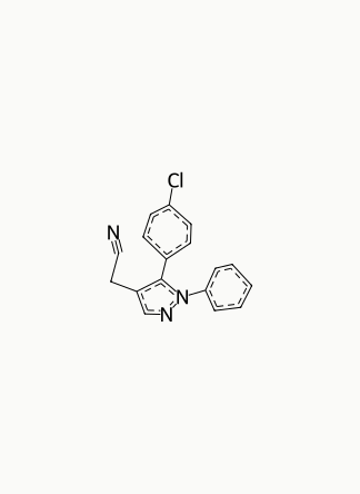 N#CCc1cnn(-c2ccccc2)c1-c1ccc(Cl)cc1